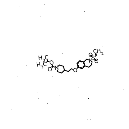 C=CS(=O)(=O)N1CCc2cc(OCCC3CCN(C(=O)OC(C)C)CC3)ccc2C1